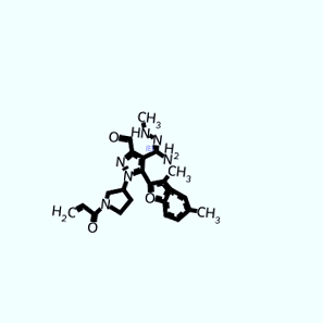 C=CC(=O)N1CCC(n2nc(C=O)c(/C(N)=N\NC)c2-c2oc3ccc(C)cc3c2C)C1